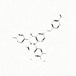 COC(=O)c1c(-c2cc(OC)c(OC)c(OC)c2)c2ccc(OCc3ccc(C(=O)O)cc3)cc2c(=O)n1-c1ccc(N)cc1.Cl